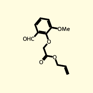 C=CCOC(=O)COc1c(C=O)cccc1OC